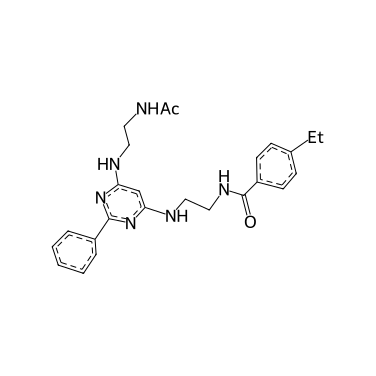 CCc1ccc(C(=O)NCCNc2cc(NCCNC(C)=O)nc(-c3ccccc3)n2)cc1